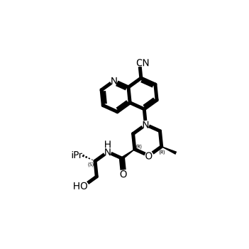 CC(C)[C@@H](CO)NC(=O)[C@H]1CN(c2ccc(C#N)c3ncccc23)C[C@@H](C)O1